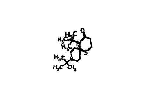 CC(C)(C)N1CCC2(CC1)SCCC(=O)N2C(C)(C)C